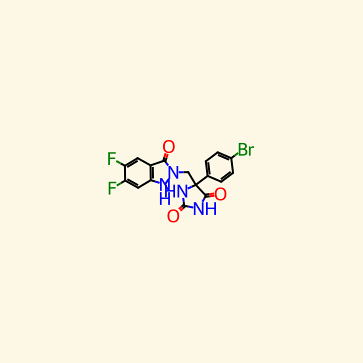 O=C1NC(=O)C(Cn2[nH]c3cc(F)c(F)cc3c2=O)(c2ccc(Br)cc2)N1